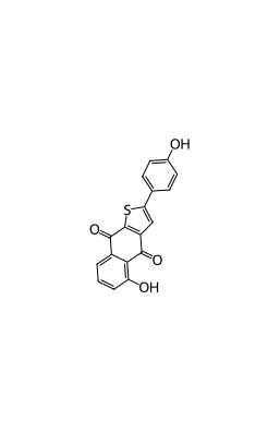 O=C1c2cccc(O)c2C(=O)c2cc(-c3ccc(O)cc3)sc21